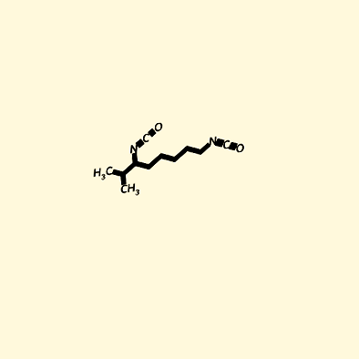 CC(C)C(CCCCCN=C=O)N=C=O